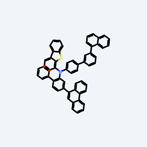 c1ccc(-c2ccc(-c3cc4ccccc4c4ccccc34)cc2N(c2ccc(-c3cccc(-c4cccc5ccccc45)c3)cc2)c2cccc3c2sc2ccccc23)cc1